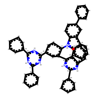 c1ccc(-c2ccc3c(c2)c2ccccc2n3-c2ccc(-c3nc(-c4ccccc4)nc(-c4ccccc4)n3)cc2-c2nc(-c3ccccc3)nc3ccccc23)cc1